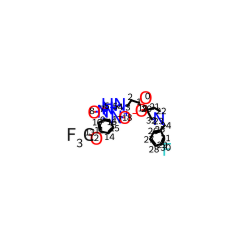 O=C(CCNc1n[n+]([O-])c2cc(OC(F)(F)F)ccc2[n+]1[O-])OC1CCN(Cc2cccc(F)c2)C1